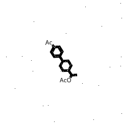 CC(=O)OC(C)C1CCC(c2ccc(C(C)=O)cc2)CC1